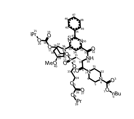 CCCCOC(=O)N1CCN(C(=O)[C@H](CP(=O)(OCCOC(=O)OC(C)C)OCCOC(=O)OC(C)C)NC(=O)c2cc(N3CC[C@H](OC)C3)nc(-c3ccccc3)n2)CC1